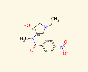 CCN1C[C@@H](O)[C@H](N(C)C(=O)c2ccc([N+](=O)[O-])cc2)C1